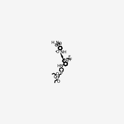 CCC(=O)OCC(CN1CCC(Nc2cccc3c2cc(C#CCNc2ccc(S(N)(=O)=O)cc2OC)n3CC(F)(F)F)CC1)OC(=O)CC